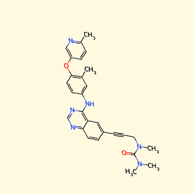 Cc1ccc(Oc2ccc(Nc3ncnc4ccc(C#CCN(C)C(=O)N(C)C)cc34)cc2C)cn1